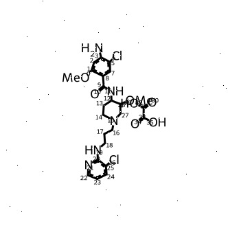 COc1cc(N)c(Cl)cc1C(=O)NC1CCN(CCCNc2ncccc2Cl)CC1OC.O=C(O)C(=O)O